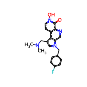 CN(C)Cc1cn(Cc2ccc(F)cc2)c2cnc3c(=O)n(O)ccc3c12